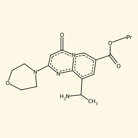 CC(C)OC(=O)c1cc(C(C)N)c2nc(N3CCOCC3)cc(=O)n2c1